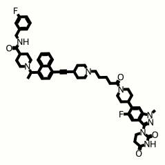 CC(c1ccc(C#CC2CCN(CCCCC(=O)N3CCC(c4cc5c(cc4F)c(N4CCC(=O)NC4=O)nn5C)CC3)CC2)c2ccccc12)N1CCC(C(=O)NCc2cccc(F)c2)CC1